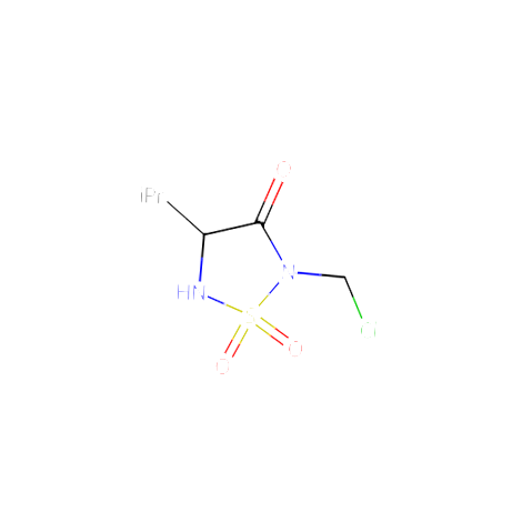 CC(C)C1NS(=O)(=O)N(CCl)C1=O